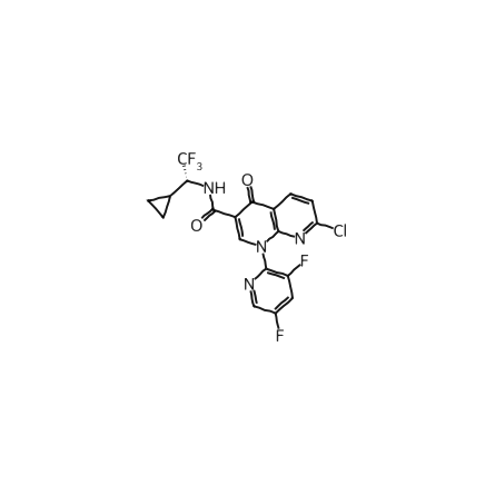 O=C(N[C@H](C1CC1)C(F)(F)F)c1cn(-c2ncc(F)cc2F)c2nc(Cl)ccc2c1=O